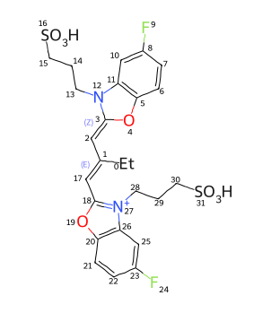 CCC(/C=C1\Oc2ccc(F)cc2N1CCCS(=O)(=O)O)=C\c1oc2ccc(F)cc2[n+]1CCCS(=O)(=O)O